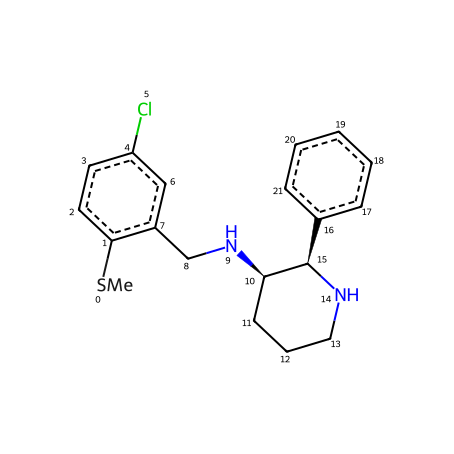 CSc1ccc(Cl)cc1CN[C@@H]1CCCN[C@@H]1c1ccccc1